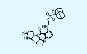 Cc1nc2cccc(NCCS(=O)(=O)NC34CC5CC(CC(C5)C3)C4)c2c(=O)n1C1CCC(=O)NC1=O